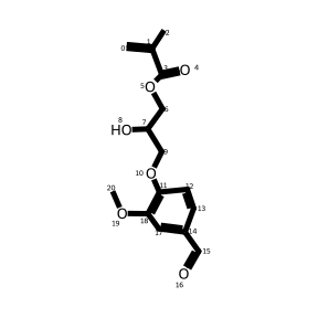 C=C(C)C(=O)OCC(O)COc1ccc(C=O)cc1OC